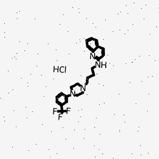 Cl.FC(F)(F)c1cccc(N2CCN(CCCCNc3ccc4ccccc4n3)CC2)c1